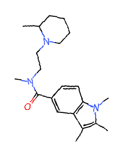 Cc1c(C)n(C)c2ccc(C(=O)N(C)CCN3CCCCC3C)cc12